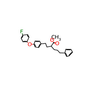 COC(=O)C(CCCc1ccccc1)CCc1ccc(Oc2ccc(F)cc2)cc1